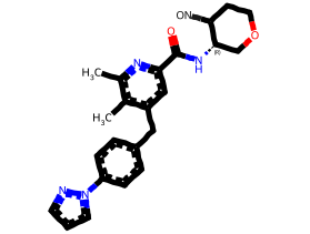 Cc1nc(C(=O)N[C@H]2COCCC2N=O)cc(Cc2ccc(-n3cccn3)cc2)c1C